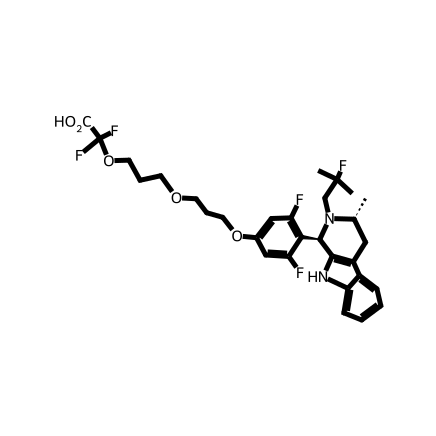 C[C@@H]1Cc2c([nH]c3ccccc23)[C@@H](c2c(F)cc(OCCCOCCCOC(F)(F)C(=O)O)cc2F)N1CC(C)(C)F